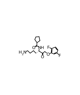 NCCCC[C@H](NC(=O)C1CCCC1)C(=O)COc1cc(F)ccc1F